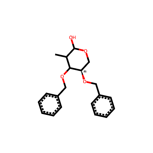 CC1C(O)OC[C@@H](OCc2ccccc2)C1OCc1ccccc1